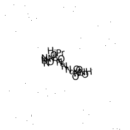 CC(C)Oc1cc2c(cc1NC(=O)c1cnn3cccnc13)CN(C1CCN(C3CN(c4ccc5c(c4)C(=O)N(C4CCC(=O)NC4=O)C5=O)C3)CC1)C2=O